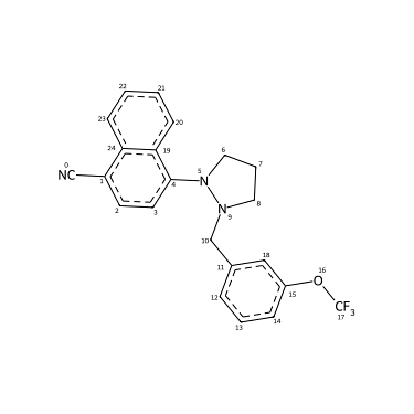 N#Cc1ccc(N2CCCN2Cc2cccc(OC(F)(F)F)c2)c2ccccc12